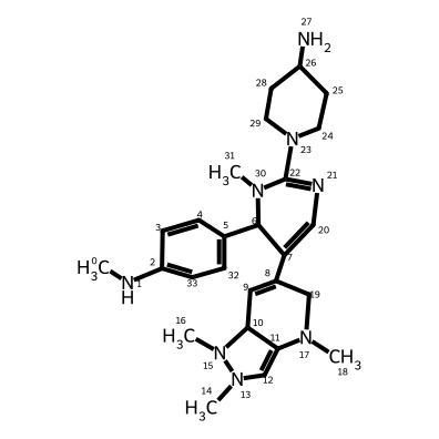 CNc1ccc(C2C(C3=CC4C(=CN(C)N4C)N(C)C3)=CN=C(N3CCC(N)CC3)N2C)cc1